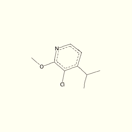 COc1nccc(C(C)C)c1Cl